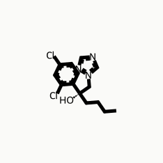 CCCC[C@](O)(Cn1cncn1)c1ccc(Cl)cc1Cl